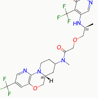 C[C@@H](COCC(=O)N(C)C1CCN2c3ncc(C(F)(F)F)cc3OC[C@H]2C1)Nc1cn[nH]c(=O)c1C(F)(F)F